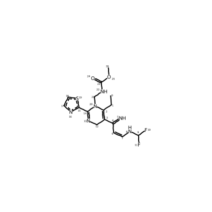 CCC1=C(C(=N)/C=C\NC(F)F)CN=C(c2nccs2)N1CNC(=O)OC